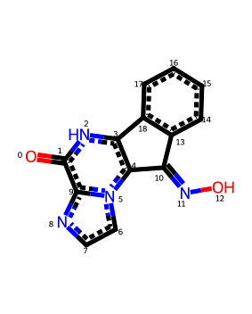 O=c1[nH]c2c(n3ccnc13)/C(=N/O)c1ccccc1-2